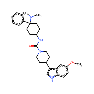 COc1ccc2[nH]cc(C3CCN(C(=O)NC4CCC(c5ccccc5)(N(C)C)CC4)CC3)c2c1